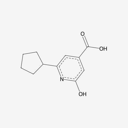 O=C(O)c1cc(O)nc(C2CCCC2)c1